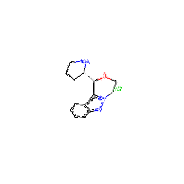 Cl.c1ccc2c3n(nc2c1)CCOC3[C@@H]1CCCN1